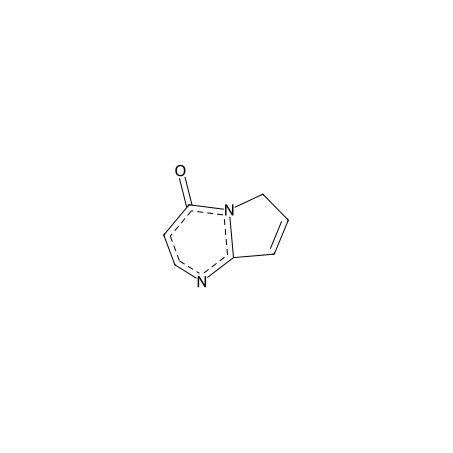 O=c1ccnc2n1CC=C2